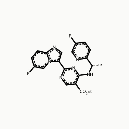 CCOC(=O)c1cnc(-c2cnc3ccc(F)cn23)nc1N[C@@H](C)c1ccc(F)cn1